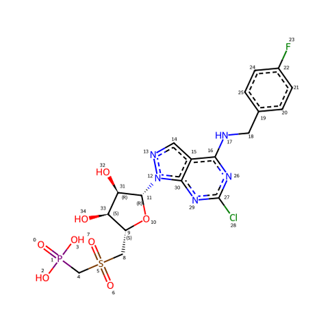 O=P(O)(O)CS(=O)(=O)C[C@H]1O[C@@H](n2ncc3c(NCc4ccc(F)cc4)nc(Cl)nc32)[C@H](O)[C@@H]1O